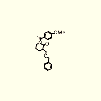 COc1ccc([C@@H](C)N2CCCC(COCc3ccccc3)C2=O)cc1